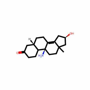 CC12CC[C@@]3(N)C(=C1C[C@@H](O)C2)CC[C@H]1CC(=O)CCC13